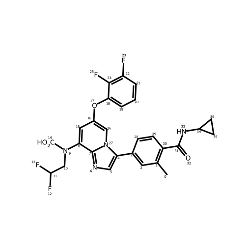 Cc1cc(-c2cnc3c(N(CC(F)F)C(=O)O)cc(Oc4cccc(F)c4F)cn23)ccc1C(=O)NC1CC1